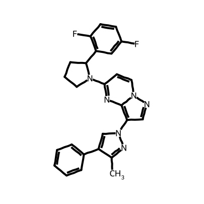 Cc1nn(-c2cnn3ccc(N4CCCC4c4cc(F)ccc4F)nc23)cc1-c1ccccc1